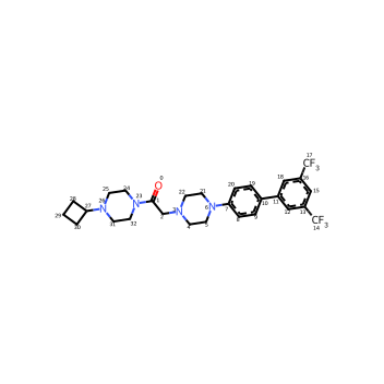 O=C(CN1CCN(c2ccc(-c3cc(C(F)(F)F)cc(C(F)(F)F)c3)cc2)CC1)N1CCN(C2CCC2)CC1